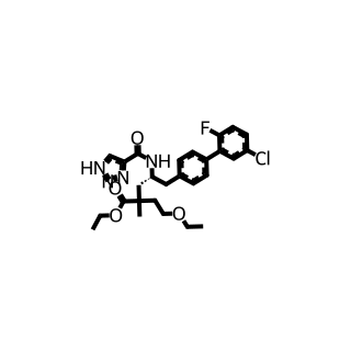 CCOCCC(C)(C[C@@H](Cc1ccc(-c2cc(Cl)ccc2F)cc1)NC(=O)c1c[nH]nn1)C(=O)OCC